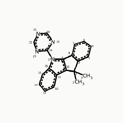 CC1(C)c2ccccc2-c2c1c1ccccc1n2-c1ncncn1